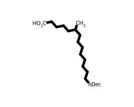 CCCCCCCCCCCCCCCCCCC(C)CCCCC(=O)O